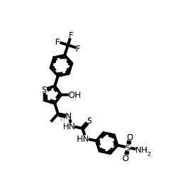 C/C(=N\NC(=S)Nc1ccc(S(N)(=O)=O)cc1)c1csc(-c2ccc(C(F)(F)F)cc2)c1O